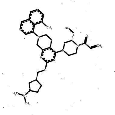 C=CC(=O)N1CCN(c2nc(OC[C@H]3CCC(N(C)C)C3)nc3c2CCN(c2cccc4cccc(C)c24)C3)C[C@@H]1CC#N